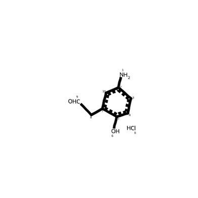 Cl.Nc1ccc(O)c(CC=O)c1